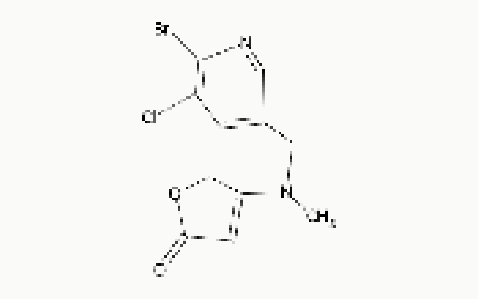 CN(Cc1cnc(Br)c(Cl)c1)C1=CC(=O)OC1